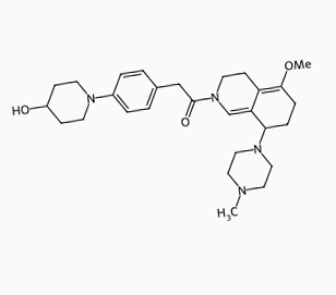 COC1=C2CCN(C(=O)Cc3ccc(N4CCC(O)CC4)cc3)C=C2C(N2CCN(C)CC2)CC1